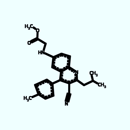 COC(=O)CNc1ccc2nc(CC(C)C)c(C#N)c(-c3ccc(C)cc3)c2c1